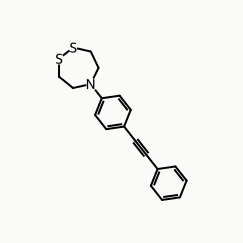 C(#Cc1ccc(N2CCSSCC2)cc1)c1ccccc1